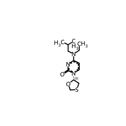 CCN(CC(C)C)c1ccn([C@@H]2CSCO2)c(=O)n1